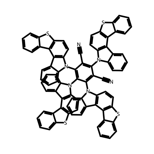 N#Cc1c(-n2c3ccccc3c3c4c(ccc32)sc2ccccc24)c(C#N)c(-n2c3ccccc3c3c4c(ccc32)sc2ccccc24)c(-n2c3ccccc3c3c4c(ccc32)sc2ccccc24)c1-n1c2ccccc2c2c3c(ccc21)sc1ccccc13